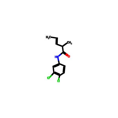 CC=CC(C)C(=O)Nc1ccc(Cl)c(Cl)c1